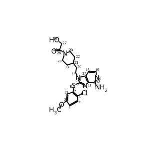 COc1ccc(Cl)c(Sc2nc3c(N)nccc3n2CCC2CCN(C(=O)CO)CC2)c1